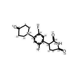 O=C1CCN(c2cc(F)c(C3CCC(=O)NC3=O)cc2F)CC1